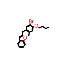 CCCCOc1cc(C)c(Cc2cc3ccccc3o2)cc1Br